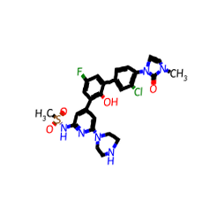 Cn1ccn(-c2ccc(-c3cc(F)cc(-c4cc(NS(C)(=O)=O)nc(N5CCNCC5)c4)c3O)cc2Cl)c1=O